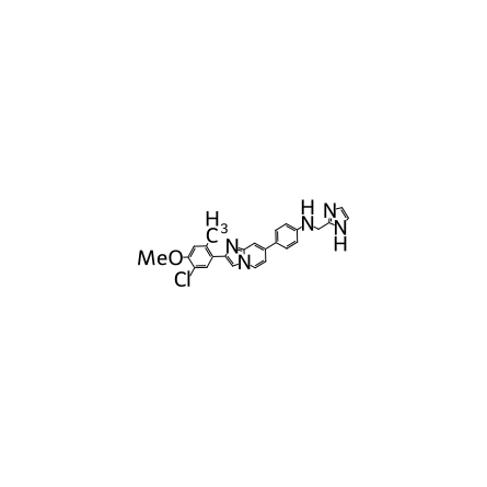 COc1cc(C)c(-c2cn3ccc(-c4ccc(NCc5ncc[nH]5)cc4)cc3n2)cc1Cl